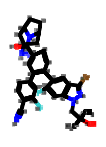 CC(C)(O)Cn1nc(Br)c2cc(-c3ccc(C(=O)N4C5CCC4CC(N)C5)cc3-c3ccc(C#N)c(F)c3)c(F)cc21